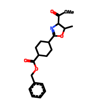 COC(=O)C1N=C(C2CCC(C(=O)OCc3ccccc3)CC2)OC1C